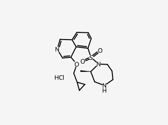 C[C@@H]1CNCCCN1S(=O)(=O)c1cccc2cncc(OCC3CC3)c12.Cl